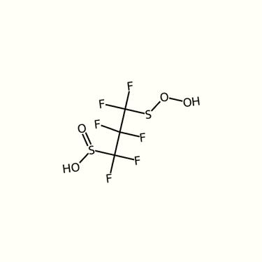 O=S(O)C(F)(F)C(F)(F)C(F)(F)SOO